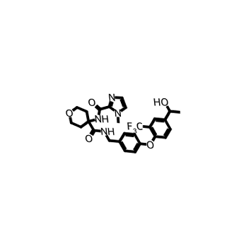 CC(O)c1ccc(Oc2ccc(CNC(=O)C3(NC(=O)c4nccn4C)CCOCC3)cc2)c(C(F)(F)F)c1